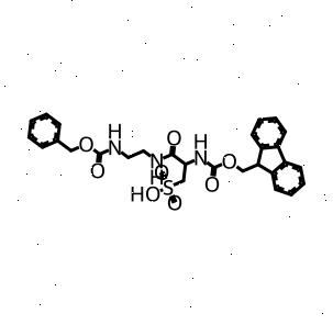 O=C(NCCNC(=O)C(CS(=O)(=O)O)NC(=O)OCC1c2ccccc2-c2ccccc21)OCc1ccccc1